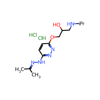 CC(C)=NNc1ccc(OCC(O)CNC(C)C)nn1.Cl.Cl